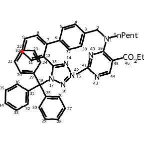 CCCCCN(Cc1ccc(-c2ccccc2-c2nnnn2C(c2ccccc2)(c2ccccc2)c2ccccc2)cc1)c1nc(C)ncc1C(=O)OCC